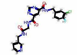 O=C(CNC(=O)c1cc(C(=O)NCc2ccc(F)c(Cl)c2)ncn1)NCc1cccnc1